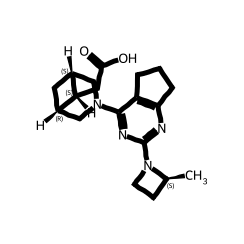 C[C@H]1CCN1c1nc2c(c(N3C[C@H]4C[C@@H](C3)[C@H]4CC(=O)O)n1)CCC2